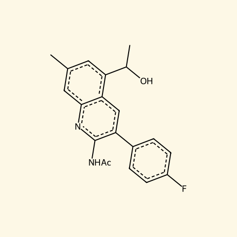 CC(=O)Nc1nc2cc(C)cc(C(C)O)c2cc1-c1ccc(F)cc1